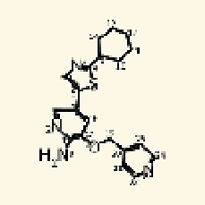 Nc1ncc(-c2cnc(C3CCCCC3)s2)cc1OCc1ccncc1